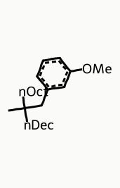 CCCCCCCCCCC(C)(CCCCCCCC)Cc1cccc(OC)c1